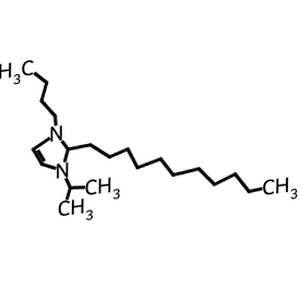 CCCCCCCCCCCC1N(CCCC)C=CN1C(C)C